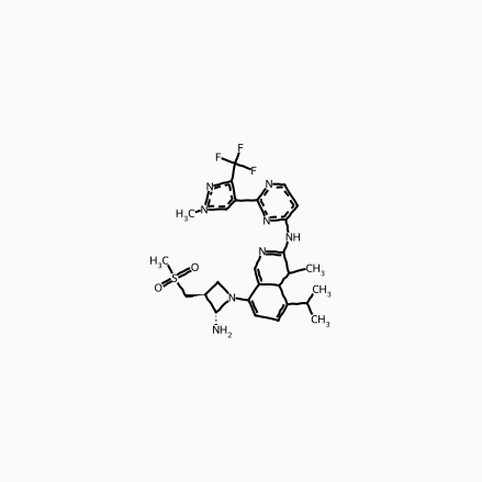 CC(C)C1=CC=C(N2C[C@H](CS(C)(=O)=O)[C@H]2N)C2=CN=C(Nc3ccnc(-c4cn(C)nc4C(F)(F)F)n3)C(C)C21